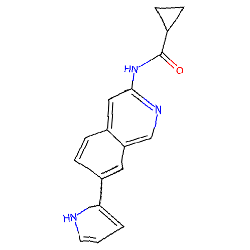 O=C(Nc1cc2ccc(-c3ccc[nH]3)cc2cn1)C1CC1